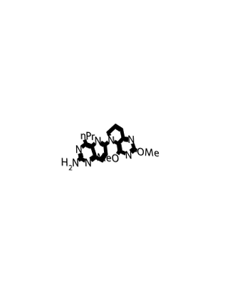 CCCc1nc(N)nc2ccc(N3CC=Cc4nc(OC)nc(OC)c43)nc12